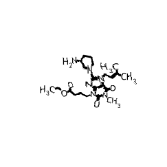 CCOC(=O)CCCn1c(=O)n(C)c(=O)c2c1nc(N1CCCC(N)C1)n2CC=C(C)C